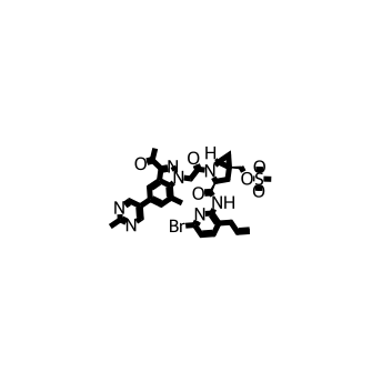 C=CCc1ccc(Br)nc1NC(=O)[C@@H]1C[C@@]2(COS(C)(=O)=O)C[C@H]2N1C(=O)Cn1nc(C(C)=O)c2cc(-c3cnc(C)nc3)cc(C)c21